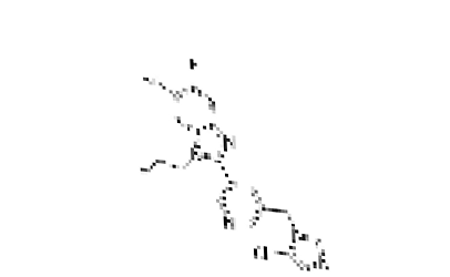 FCCn1c(-c2cncc(Cn3cncc3Cl)c2)nc2cc(F)c(Br)cc21